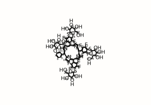 OCC1OC(Oc2cccc(-c3c4nc(c(-c5c(F)c(F)c(SC6OC(CO)C(O)C(O)C6O)c(F)c5F)c5ccc([nH]5)c(-c5c(F)c(F)c(SC6OC(CO)C(O)C(O)C6O)c(F)c5F)c5nc(c(-c6c(F)c(F)c(SC7OC(CO)C(O)C(O)C7O)c(F)c6F)c6ccc3[nH]6)C=C5)C=C4)c2)C(O)C(O)C1O